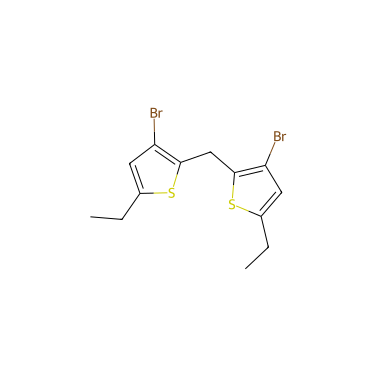 CCc1cc(Br)c(Cc2sc(CC)cc2Br)s1